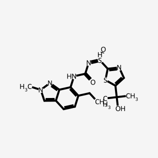 CCc1ccc2cn(C)nc2c1NC(=O)/N=[SH](=O)\c1ncc(C(C)(C)O)s1